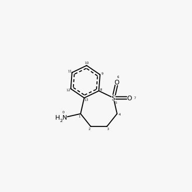 NC1CCCS(=O)(=O)c2ccccc21